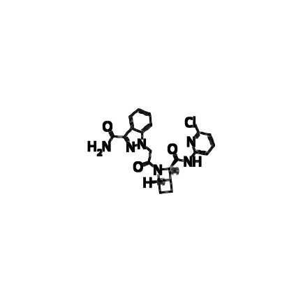 NC(=O)c1nn(CC(=O)N2[C@H]3CCC3[C@@H]2C(=O)Nc2cccc(Cl)n2)c2ccccc12